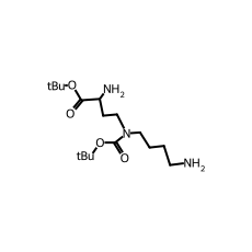 CC(C)(C)OC(=O)C(N)CCN(CCCCN)C(=O)OC(C)(C)C